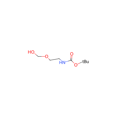 CC(C)(C)OC(=O)NCCOCO